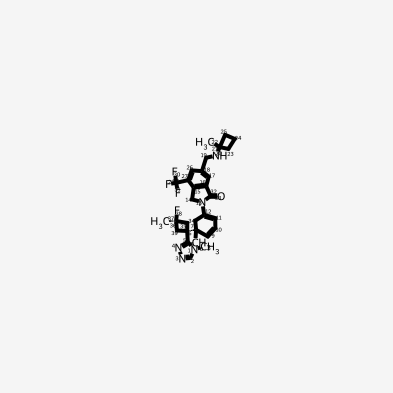 Cn1cnnc1[C@]1(C2(C)C=CC=C(N3Cc4c(cc(CNC5(C)CCC5)cc4C(F)(F)F)C3=O)C2)C[C@](C)(F)C1